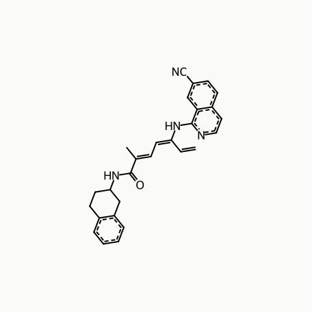 C=C/C(=C\C=C(/C)C(=O)NC1CCc2ccccc2C1)Nc1nccc2ccc(C#N)cc12